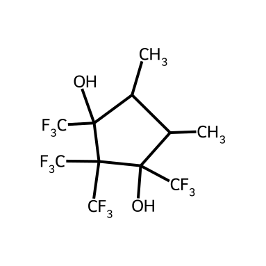 CC1C(C)C(O)(C(F)(F)F)C(C(F)(F)F)(C(F)(F)F)C1(O)C(F)(F)F